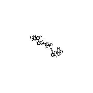 CCc1cc(-c2cccc3cc(-c4ccc(C(=O)NCC#Cc5cccc(N(C)C6CCC(=O)NC6=O)c5)nc4)ncc23)c2cc(C)c(=O)n(C)c2c1